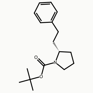 CC(C)(C)OC(=O)N1CCC[C@H]1CCc1ccccc1